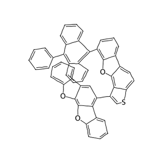 c1ccc(-c2c3ccccc3c(-c3cccc4c3oc3c4ccc4scc(-c5cc6c7ccccc7oc6c6oc7ccccc7c56)c43)c3ccccc23)cc1